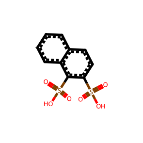 O=S(=O)(O)c1ccc2cc[c]cc2c1S(=O)(=O)O